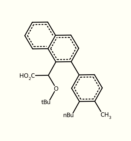 CCCCc1cc(-c2ccc3ccccc3c2C(OC(C)(C)C)C(=O)O)ccc1C